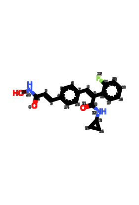 O=C(/C=C/c1ccc(C=C(C(=O)NC2CC2)c2ccccc2F)cc1)NO